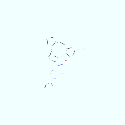 C=CC(=O)N1CCN(c2nc(=O)n3c4c(CC)cc(NC)cc4ccc4ccc(F)c(P)c4c4c(C)cc2c3c4O)[C@@H](C)C1